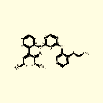 CCCc1ccccc1Oc1ncnc(Oc2ccccc2C(=COC)C(=O)OC)n1